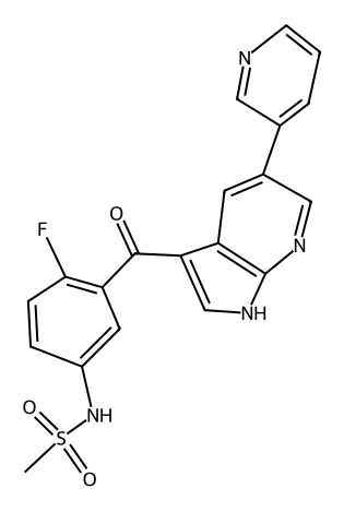 CS(=O)(=O)Nc1ccc(F)c(C(=O)c2c[nH]c3ncc(-c4cccnc4)cc23)c1